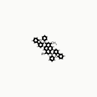 Cc1cc(N(c2ccccc2)c2cccc3c2oc2ccccc23)c2ccc3c(C(C)C)cc(N(c4ccccc4)c4cccc5c4oc4ccccc45)c4ccc1c2c34